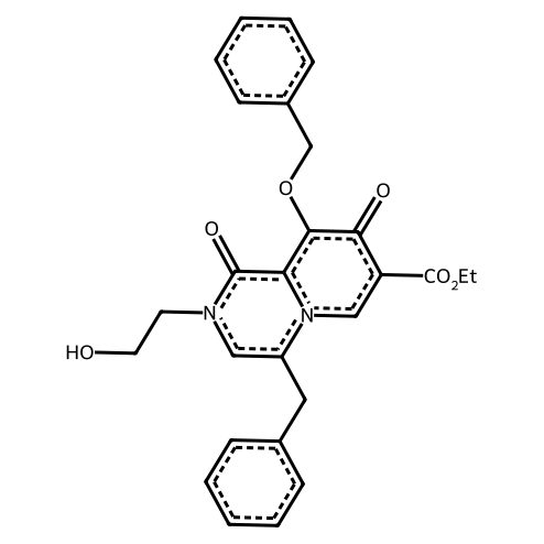 CCOC(=O)c1cn2c(Cc3ccccc3)cn(CCO)c(=O)c2c(OCc2ccccc2)c1=O